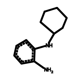 Nc1ccccc1NC1CCCCC1